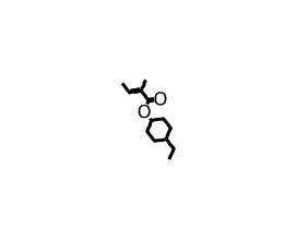 CC=C(C)C(=O)OC1CCC(CC)CC1